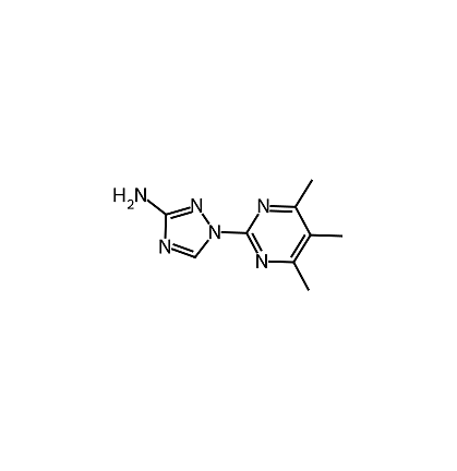 Cc1nc(-n2cnc(N)n2)nc(C)c1C